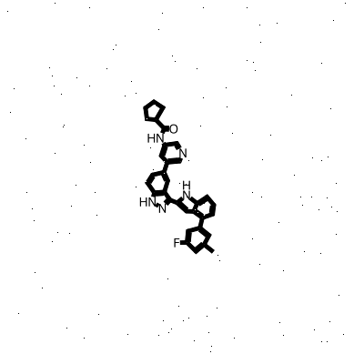 Cc1cc(F)cc(-c2cccc3[nH]c(-c4n[nH]c5ccc(-c6cncc(NC(=O)C7CCCC7)c6)cc45)cc23)c1